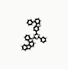 c1ccc(-c2nc(-c3ccc4c(c3)oc3cccc(-c5ccccc5)c34)nc(-n3c4ccccc4c4c5c(ccc43)Cc3ccccc3-5)n2)cc1